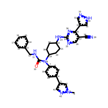 Cn1cc(-c2ccc(N(C(=O)NCc3ccccc3)C3CCC(Nc4ncc(C#N)c(-c5cn[nH]c5)n4)CC3)cc2)cn1